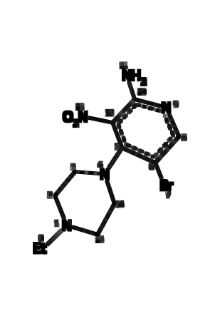 CCN1CCN(c2c(Br)cnc(N)c2[N+](=O)[O-])CC1